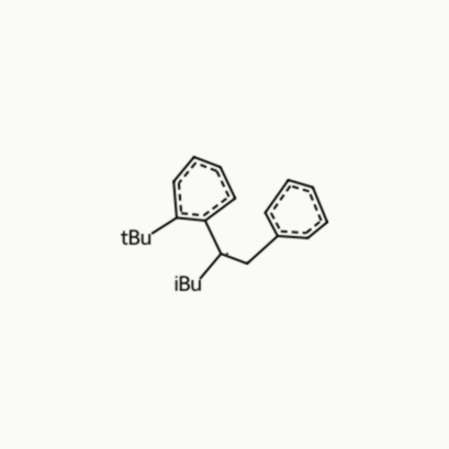 CCC(C)[C](Cc1ccccc1)c1ccccc1C(C)(C)C